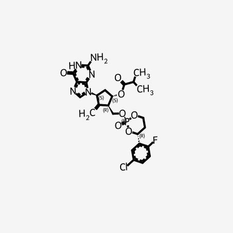 C=C1[C@H](CO[P@]2(=O)OCC[C@H](c3cc(Cl)ccc3F)O2)[C@@H](OC(=O)C(C)C)C[C@@H]1n1cnc2c(=O)[nH]c(N)nc21